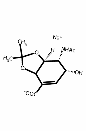 CC(=O)N[C@@H]1[C@H](O)C=C(C(=O)[O-])C2OC(C)(C)O[C@H]21.[Na+]